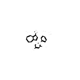 COS(=O)(=O)[O-].COc1cc(N)cn[n+]1-c1ccccc1.O=S(=O)([O-])c1ccc2cccccc1-2.[Na+]